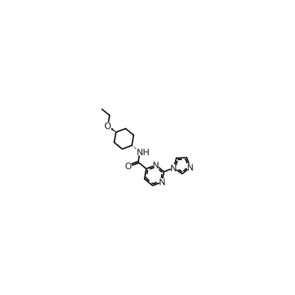 CCO[C@H]1CC[C@H](NC(=O)c2ccnc(-n3ccnc3)n2)CC1